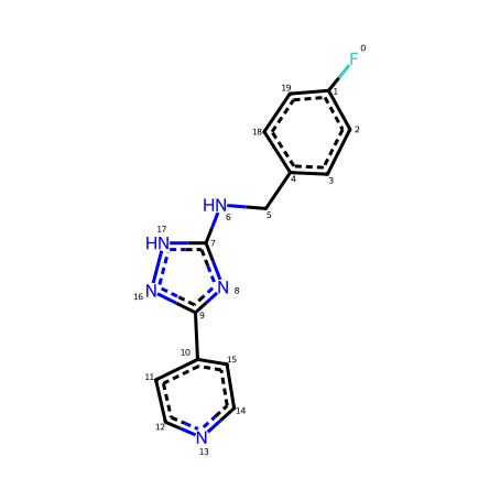 Fc1ccc(CNc2nc(-c3ccncc3)n[nH]2)cc1